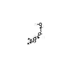 Cc1cc(C(Nc2ccc3c(N(C(=O)OC(C)(C)C)C(=O)OC(C)(C)C)nccc3c2)C(=O)O)ccc1CCOC(=O)Nc1cccc(C#N)c1